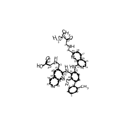 Cc1ccccc1-c1ccc(Nc2nccc3ccc(CNCC(=O)N(C)C)nc23)c(Nc2nc3cnccc3cc2CNCC(=O)O)c1C